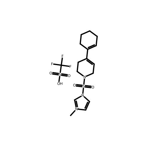 C[n+]1ccn(S(=O)(=O)N2CC=C(C3=CCCCC3)CC2)c1.O=S(=O)(O)C(F)(F)F